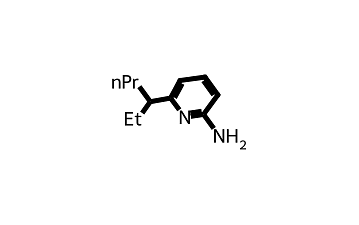 CCCC(CC)c1cccc(N)n1